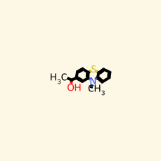 CC(O)c1ccc2c(c1)N(C)c1ccccc1S2